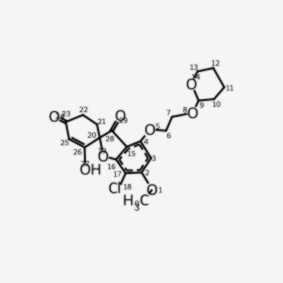 COc1cc(OCCOC2CCCCO2)c2c(c1Cl)OC1(CCC(=O)C=C1O)C2=O